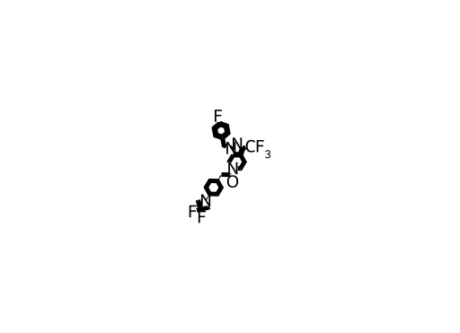 O=C(C[C@H]1CC[C@@H](N2CC(F)(F)C2)CC1)N1CCc2c(C(F)(F)F)nn(Cc3ccc(F)cc3)c2C1